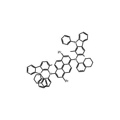 Cc1cc2c3ccccc3n(-c3ccccc3)c2c(C)c1N(c1cccc2c1CCCC2)c1cc(C(C)C)c2ccc3c(N(c4cccc5c4CCCC5)c4c(C)ccc5c6ccccc6n(-c6ccccc6)c45)cc(C(C)C)c4ccc1c2c43